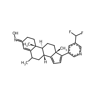 CC1C[C@H]2C3=CC=C(c4cncc(C(F)F)c4)[C@@]3(C)CC[C@@H]2[C@@]2(C)CC/C(=N\O)C=C12